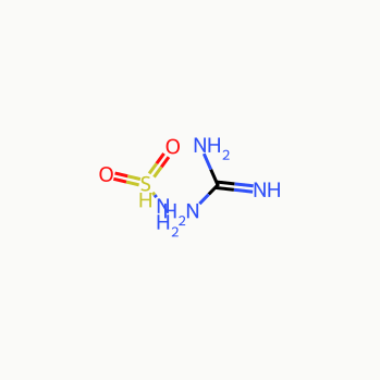 N=C(N)N.N[SH](=O)=O